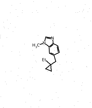 CCC1(Cc2ccc3ncn(C)c3c2)CC1